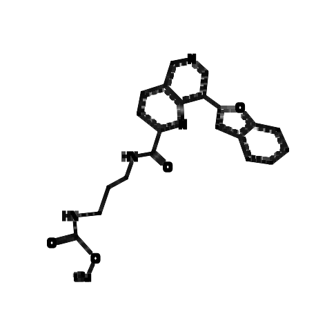 CC(C)(C)OC(=O)NCCCNC(=O)c1ccc2cncc(-c3cc4ccccc4o3)c2n1